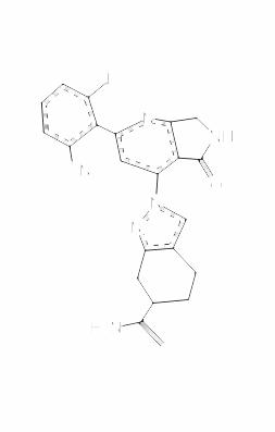 N#Cc1cccc(F)c1-c1cc(-n2cc3c(n2)CC(C(N)=O)CC3)c2c(n1)CNC2=O